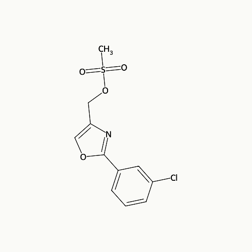 CS(=O)(=O)OCc1coc(-c2cccc(Cl)c2)n1